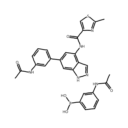 CC(=O)Nc1cccc(-c2cc(NC(=O)c3csc(C)n3)c3cn[nH]c3c2)c1.CC(=O)Nc1cccc(B(O)O)c1